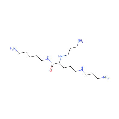 NCCCCCNC(=O)C(CCCNCCCN)NCCCN